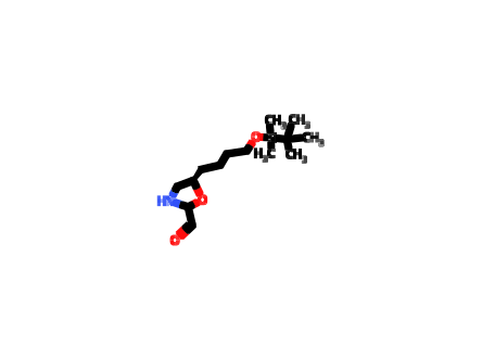 CC(C)(C)[Si](C)(C)OCCCC[C@@H]1CNC(C=O)O1